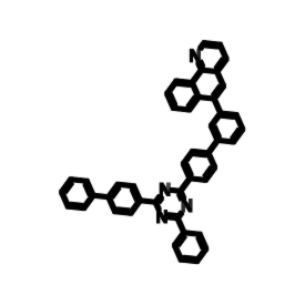 c1ccc(-c2ccc(-c3nc(-c4ccccc4)nc(-c4ccc(-c5cccc(-c6cc7cccnc7c7ccccc67)c5)cc4)n3)cc2)cc1